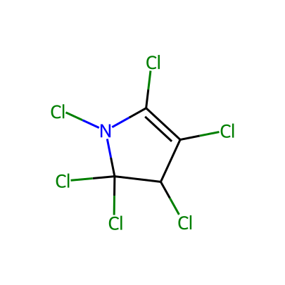 ClC1=C(Cl)N(Cl)C(Cl)(Cl)C1Cl